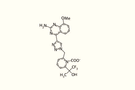 COc1cccc2c(-c3cn(Cc4cccc(C(C)(O)C(F)(F)F)[n+]4C(=O)[O-])nn3)nc(N)nc12